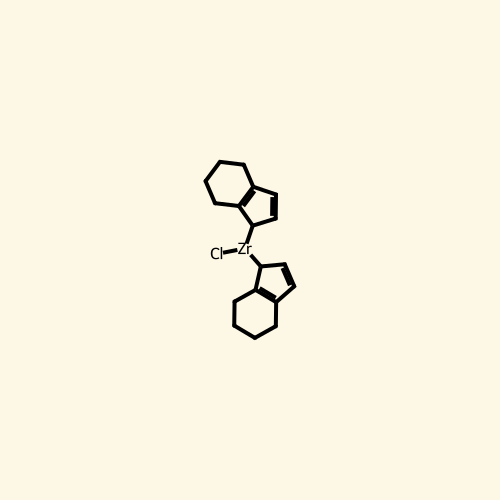 [Cl][Zr]([CH]1C=CC2=C1CCCC2)[CH]1C=CC2=C1CCCC2